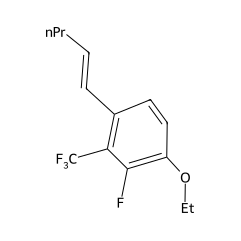 CCC/C=C/c1ccc(OCC)c(F)c1C(F)(F)F